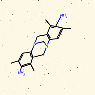 Cc1cc2c(c(C)c1N)CN1CN2Cc2c1cc(C)c(N)c2C